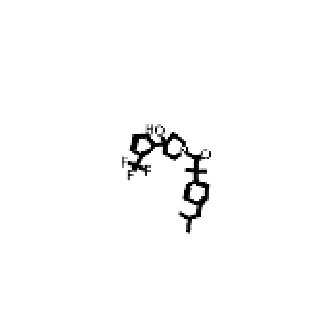 CC(C)Cc1ccc(C(C)(C)C(=O)N2CCC(O)(c3cccc(C(F)(F)F)c3)CC2)cc1